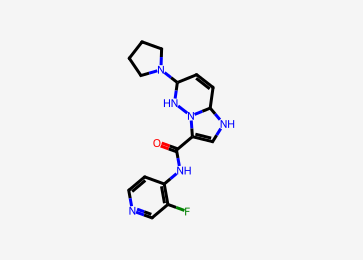 O=C(Nc1ccncc1F)C1=CNC2C=CC(N3CCCC3)NN12